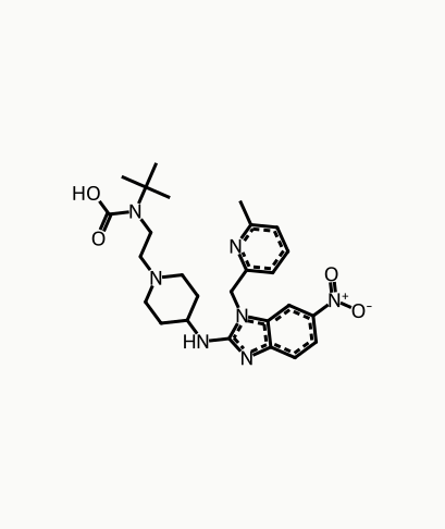 Cc1cccc(Cn2c(NC3CCN(CCN(C(=O)O)C(C)(C)C)CC3)nc3ccc([N+](=O)[O-])cc32)n1